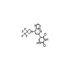 O=c1[nH]cc(-c2cc(N3CC(F)(C(F)(F)F)C3)c3nccn3n2)c(=O)[nH]1